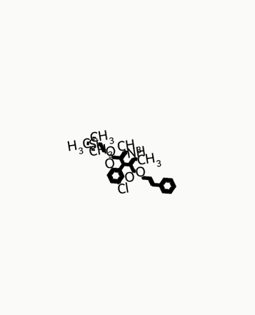 CC1=C(C(=O)OCC=Cc2ccccc2)C(c2cccc(Cl)c2)C(C(=O)OCC[Si](C)(C)C)=C(C)N1